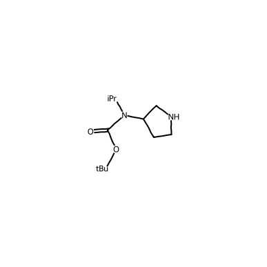 CC(C)N(C(=O)OC(C)(C)C)C1CCNC1